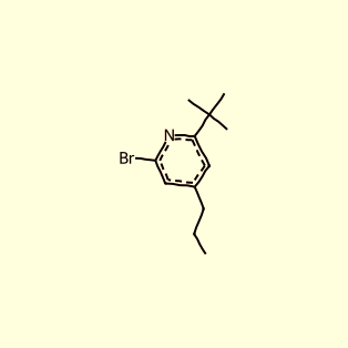 CCCc1cc(Br)nc(C(C)(C)C)c1